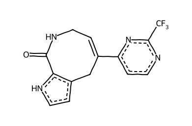 O=C1NCC=C(c2ccnc(C(F)(F)F)n2)Cc2cc[nH]c21